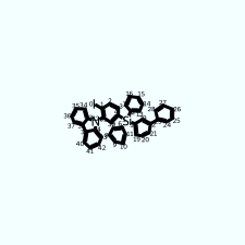 Ic1ccc([Si](c2ccccc2)(c2ccccc2)c2cccc(-c3ccccc3)c2)cc1-n1c2ccccc2c2ccccc21